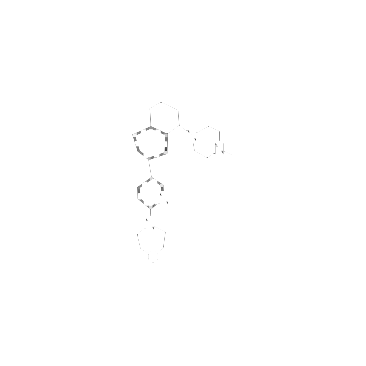 CN1CCN(C2CCCc3ccc(-c4ccc(N5CCOCC5)nc4)cc32)CC1